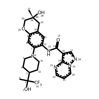 CC(O)(C1CCN(c2cc3c(cc2NC(=O)c2cnn4cccnc24)C[C@@](C)(O)CO3)CC1)C(F)(F)F